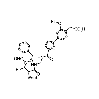 CCCCC[C@@H](C(=O)NCNC(=O)c1ccc(-c2ccc(CC(=O)O)c(OCC)c2)o1)[C@@H](CC)N(C=O)OCc1ccccc1